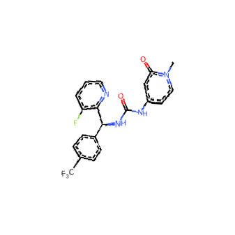 Cn1ccc(NC(=O)N[C@@H](c2ccc(C(F)(F)F)cc2)c2ncccc2F)cc1=O